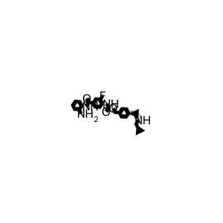 Nc1ccccc1NC(=O)c1ccc(NC(=O)OCc2ccc([C@H]3C[C@@H]3NCC3CC3)cc2)c(F)c1